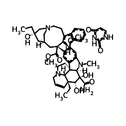 CC[C@]1(O)C[C@H]2C[N@](CCc3c([nH]c4ccccc34)[C@@](C(=O)OC)(c3cc4c(cc3OC)N(C)[C@H]3[C@@](O)(C(N)=O)[C@H](O)[C@]5(CC)C=CCN6CC[C@]43[C@@H]65)C2)C1.O=c1cc[nH]c(=O)[nH]1